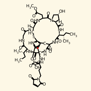 CC[C@H](C)[C@@H]1NC(=O)CNC(=O)[C@@H]2Cc3c([nH]c4cc(OP(=O)(O)O)c(NC(=O)CCCN5C(=O)C=CC5=O)cc34)SC[C@H](NC(=O)CNC1=O)C(=O)NC(CC(=O)OC)C(=O)N1C[C@H](O)C[C@H]1C(=O)N[C@@H]([C@@H](C)CC)C(=O)N2